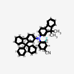 CC1(C)c2ccccc2-c2ccc(N(c3ccc4c(c3)C(c3ccccc3)(c3ccccc3)c3ccccc3-4)c3ccc(C#N)cc3F)cc21